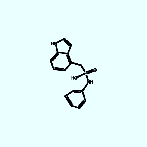 O=P(O)(Cc1cccc2[nH]ccc12)Nc1ccccc1